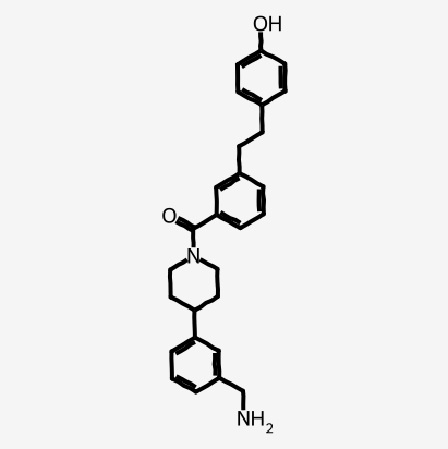 NCc1cccc(C2CCN(C(=O)c3cccc(CCc4ccc(O)cc4)c3)CC2)c1